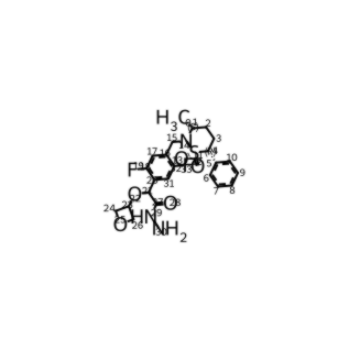 C[C@H]1CC[C@H](c2ccccc2)S(=O)(=O)N1Cc1cc(F)c(C(OC2COC2)C(=O)NN)cc1F